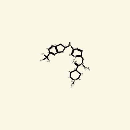 CN(Cc1ccc(NC2Cc3ccc(C(F)(F)F)cc3C2)cn1)C(=O)C1CC[S+]([O-])CC1